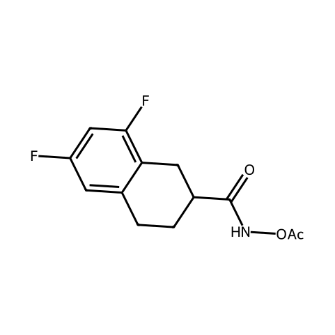 CC(=O)ONC(=O)C1CCc2cc(F)cc(F)c2C1